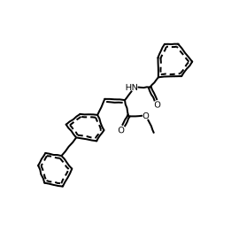 COC(=O)/C(=C\c1ccc(-c2ccccc2)cc1)NC(=O)c1ccccc1